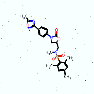 Cc1cc(C)c(S(=O)(=O)N(C)CC2CN(c3ccc(-c4noc(C)n4)cc3)C(=O)O2)c(C)c1